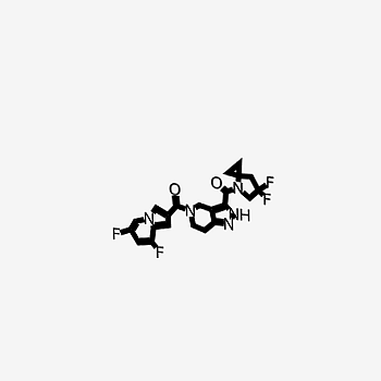 O=C(c1cc2c(F)cc(F)cn2c1)N1CCc2n[nH]c(C(=O)N3CC(F)(F)CC34CC4)c2C1